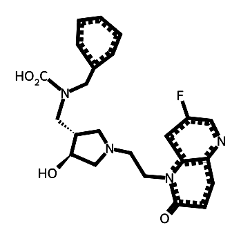 O=C(O)N(Cc1ccccc1)C[C@@H]1CN(CCn2c(=O)ccc3ncc(F)cc32)C[C@H]1O